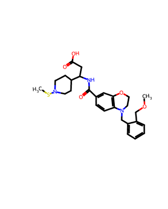 COCc1ccccc1CN1CCOc2cc(C(=O)NC(CC(=O)O)C3CCN(SC)CC3)ccc21